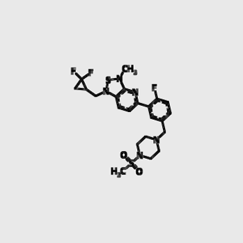 CN1SN(CC2CC2(F)F)c2ccc(-c3cc(CN4CCN(S(C)(=O)=O)CC4)ccc3F)nc21